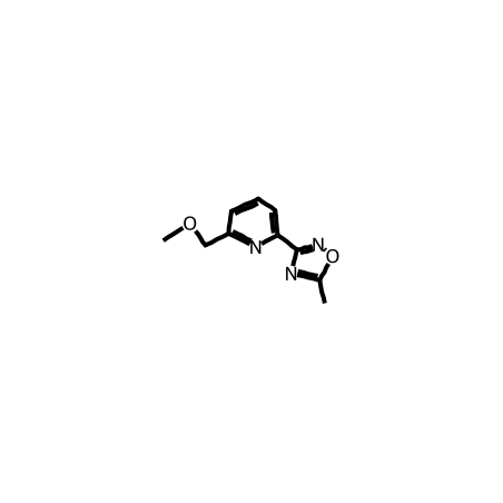 COCc1cccc(-c2noc(C)n2)n1